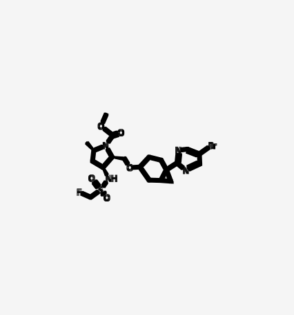 COC(=O)N1[C@H](C)C[C@H](NS(=O)(=O)CF)[C@@H]1COC1CCC2(c3ncc(Br)cn3)CC2C1